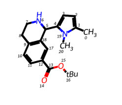 Cc1ccc(C2NCCc3ccc(C(=O)OC(C)(C)C)cc32)n1C